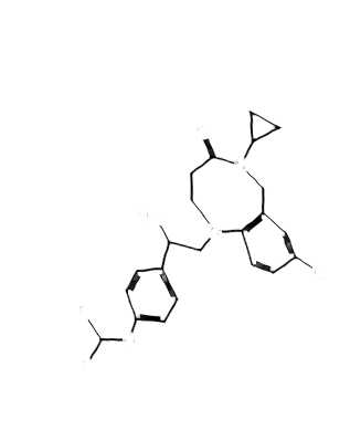 O=C1CCN(CC(O)c2ccc(OC(F)F)cc2)c2ccc(Cl)cc2CN1C1CC1